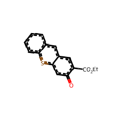 CCOC(=O)c1cc2cc3ccccc3sc-2cc1=O